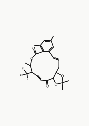 Cc1cc(C)c2c(c1)/C=C/CC1OC(C)(C)OC1C(=O)/C=C\C(C(F)(F)F)C(C)OC2=O